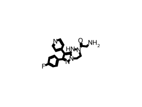 NCC(=O)N1CCn2nc(-c3ccc(F)cc3)c(-c3ccncc3)c2N1